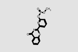 CO[P](=O)Oc1cccc(-c2nc(=O)c3ccccc3s2)n1